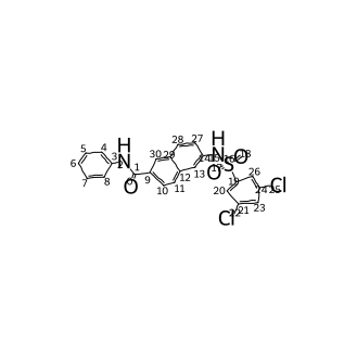 O=C(Nc1ccccc1)c1ccc2cc(NS(=O)(=O)c3cc(Cl)cc(Cl)c3)ccc2c1